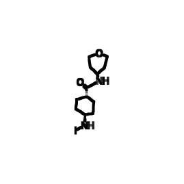 O=C(NC1CCOCC1)[C@H]1CC[C@H](NI)CC1